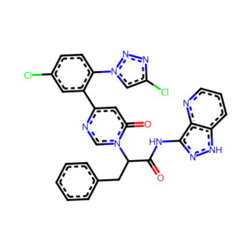 O=C(Nc1n[nH]c2cccnc12)C(Cc1ccccc1)n1cnc(-c2cc(Cl)ccc2-n2cc(Cl)nn2)cc1=O